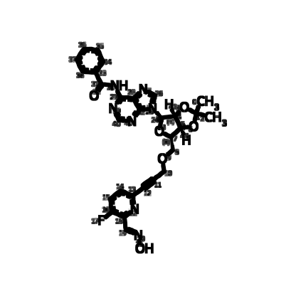 CC1(C)O[C@@H]2[C@H](O1)[C@@H](COCC#Cc1ccc(F)c(C=NO)n1)O[C@H]2n1cnc2c(NC(=O)c3ccccc3)ncnc21